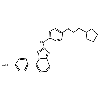 CC(=O)Nc1ccc(-c2cccc3nc(Nc4ccc(OCCN5CCCC5)cc4)nn23)cc1